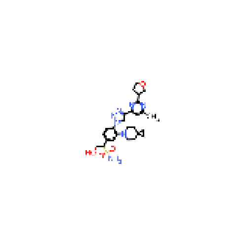 Cc1cc(-c2cn(-c3ccc(C(CO)S(N)(=O)=O)cc3N3CCC4(CC3)CC4)nn2)nc(C2CCOC2)n1